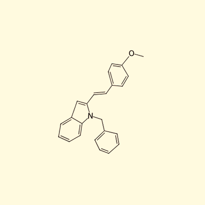 COc1ccc(C=Cc2cc3ccccc3n2Cc2ccccc2)cc1